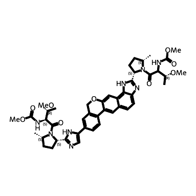 COC(=O)NC(C(=O)N1[C@@H](C)CC[C@H]1c1nc2ccc3cc4c(cc3c2[nH]1)OCc1cc(-c2cnc([C@@H]3CC[C@H](C)N3C(=O)[C@@H](NC(=O)OC)[C@@H](C)OC)[nH]2)ccc1-4)[C@@H](C)OC